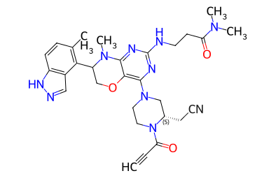 C#CC(=O)N1CCN(c2nc(NCCC(=O)N(C)C)nc3c2OCC(c2c(C)ccc4[nH]ncc24)N3C)C[C@@H]1CC#N